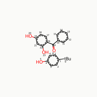 CC(C)(C)c1ccc(O)cc1.O=C(c1ccccc1)c1ccc(O)cc1O